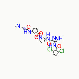 CN(C)C/C=C/C(=O)Nc1cccc(S(=O)(=O)N2CCC[C@@H](NC(=O)c3n[nH]cc3NC(=O)c3c(Cl)cccc3Cl)C2)c1